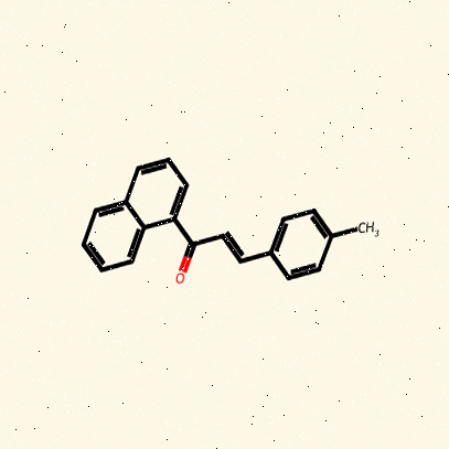 Cc1ccc(/C=C/C(=O)c2cccc3ccccc23)cc1